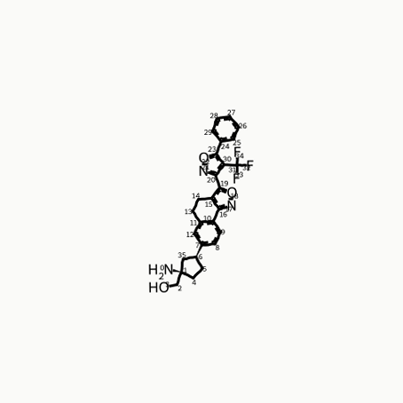 N[C@]1(CO)CC[C@H](c2ccc3c(c2)CCc2c-3noc2-c2noc(-c3ccccc3)c2C(F)(F)F)C1